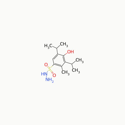 Cc1c(S(=O)(=O)NN)cc(C(C)C)c(O)c1C(C)C